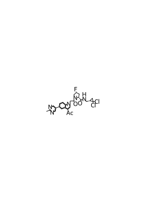 CC(=O)c1cn(CC(=O)N2C[C@H](F)C[C@H]2C(=O)NC[C@H]2CC2(Cl)Cl)c2ccc(-c3cnc(C)nc3)cc12